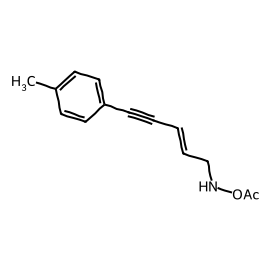 CC(=O)ONCC=CC#Cc1ccc(C)cc1